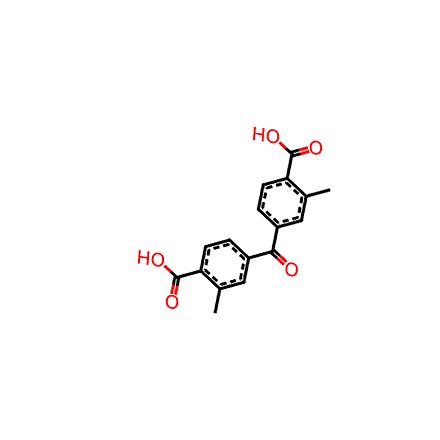 Cc1cc(C(=O)c2ccc(C(=O)O)c(C)c2)ccc1C(=O)O